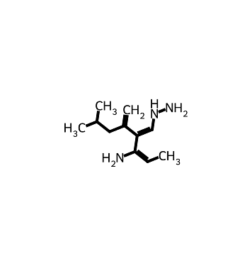 C=C(CC(C)C)C(=C\NN)/C(N)=C\C